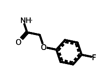 [NH]C(=O)COc1ccc(F)cc1